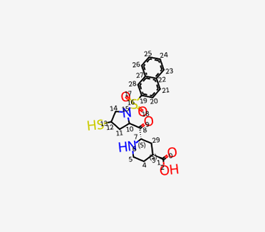 O=C(O)[C@H]1CCN[C@H](C(=O)C2CC(S)CN2S(=O)(=O)c2ccc3ccccc3c2)C1